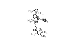 C=C(NCCCCNC/C(C)=C\C(C)=C(C)C)c1ccc(N2C(=C)CCC2C)cc1NCCNC